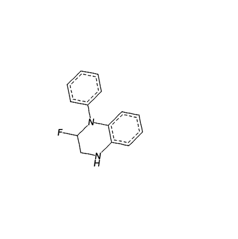 FC1CNc2ccccc2N1c1ccccc1